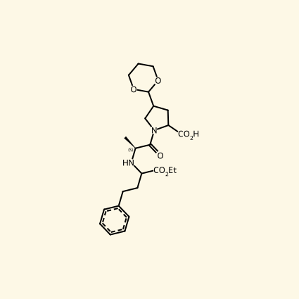 CCOC(=O)C(CCc1ccccc1)N[C@@H](C)C(=O)N1CC(C2OCCCO2)CC1C(=O)O